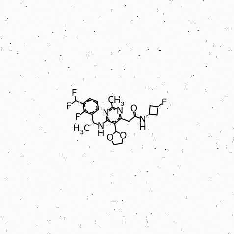 Cc1nc(CC(=O)N[C@H]2C[C@H](F)C2)c(C2OCCO2)c(N[C@H](C)c2cccc(C(F)F)c2F)n1